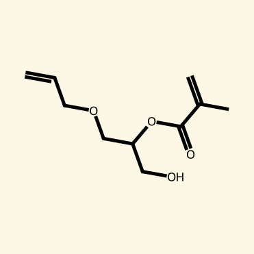 C=CCOCC(CO)OC(=O)C(=C)C